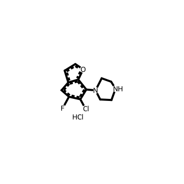 Cl.Fc1cc2ccoc2c(N2CCNCC2)c1Cl